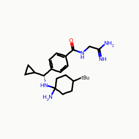 CC(C)(C)C1CCC(N)(N[C@@H](c2ccc(C(=O)NCC(=N)N)cc2)C2CC2)CC1